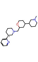 CN1CCCC(C2CCOC(CN3CCC[C@H](c4ccccn4)C3)C2)C1